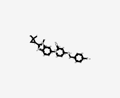 Cn1c(C2CC2(C)C)nc2ccc(-n3ccc(OCc4ccc(F)cc4)cc3=O)cc21